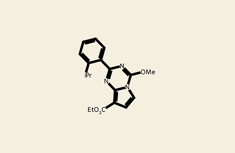 CCOC(=O)c1ccn2c(OC)nc(-c3ccccc3C(C)C)nc12